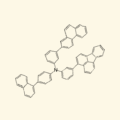 c1cc(-c2ccc3c(ccc4ccccc43)c2)cc(N(c2ccc(-c3cccc4ccccc34)cc2)c2cccc(-c3ccc4c5c(cccc35)-c3ccccc3-4)c2)c1